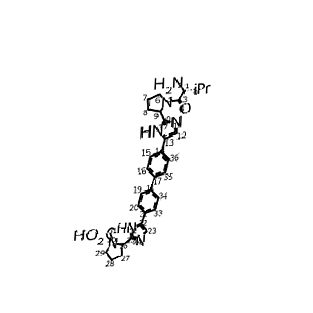 CC(C)[C@@H](N)C(=O)N1CCCC1c1ncc(-c2ccc(-c3ccc(-c4cnc(C5CCCN5C(=O)O)[nH]4)cc3)cc2)[nH]1